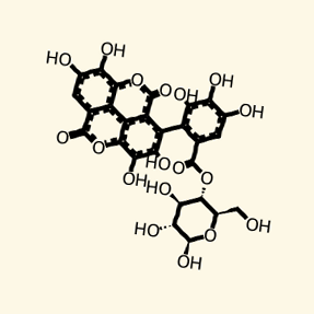 O=C(O[C@H]1[C@H](O)[C@@H](O)[C@H](O)O[C@@H]1CO)c1cc(O)c(O)c(O)c1-c1c(O)c(O)c2oc(=O)c3cc(O)c(O)c4oc(=O)c1c2c43